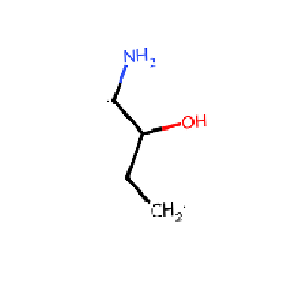 [CH2]CC(O)[CH]N